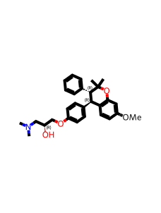 COc1ccc2c(c1)OC(C)(C)[C@@H](c1ccccc1)[C@@H]2c1ccc(OC[C@H](O)CN(C)C)cc1